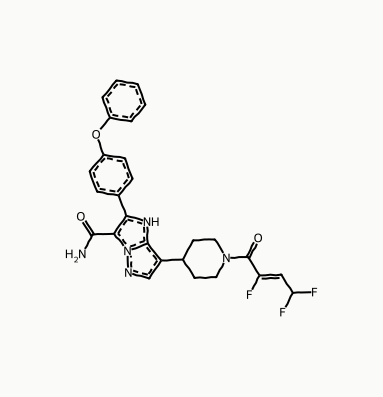 NC(=O)c1c(-c2ccc(Oc3ccccc3)cc2)[nH]c2c(C3CCN(C(=O)C(F)=CC(F)F)CC3)cnn12